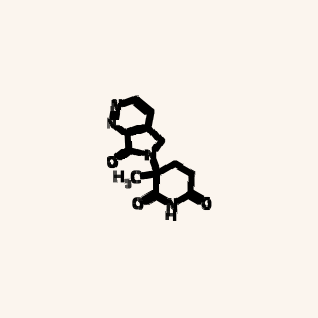 CC1(N2Cc3ccnnc3C2=O)CCC(=O)NC1=O